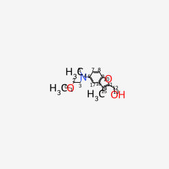 COCCN(C)c1ccc2oc(CO)c(C)c2c1